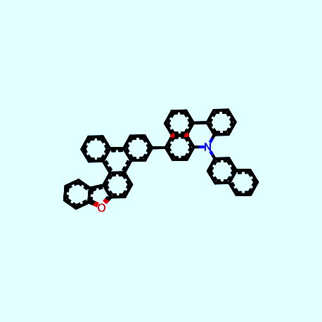 c1ccc(-c2ccccc2N(c2ccc(-c3ccc4c5ccccc5c5c(ccc6oc7ccccc7c65)c4c3)cc2)c2ccc3ccccc3c2)cc1